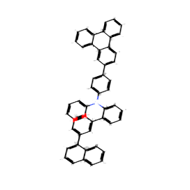 c1ccc(N(c2ccc(-c3ccc4c5ccccc5c5ccccc5c4c3)cc2)c2ccccc2-c2cccc(-c3cccc4ccccc34)c2)cc1